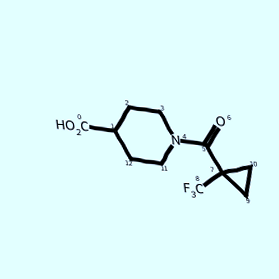 O=C(O)C1CCN(C(=O)C2(C(F)(F)F)CC2)CC1